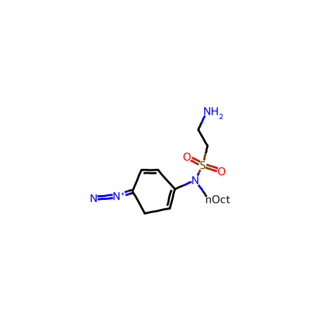 CCCCCCCCN(C1=CCC(=[N+]=[N-])C=C1)S(=O)(=O)CCN